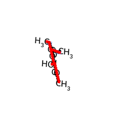 CC/C=C\CCCCOC(CCCC(=O)OCCCCCN(CCO)CCCCCCCC(=O)OCCCCCCCCC)OCCCC/C=C\CC